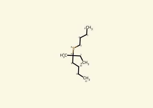 CCCCSC(C)(CC)CCCC